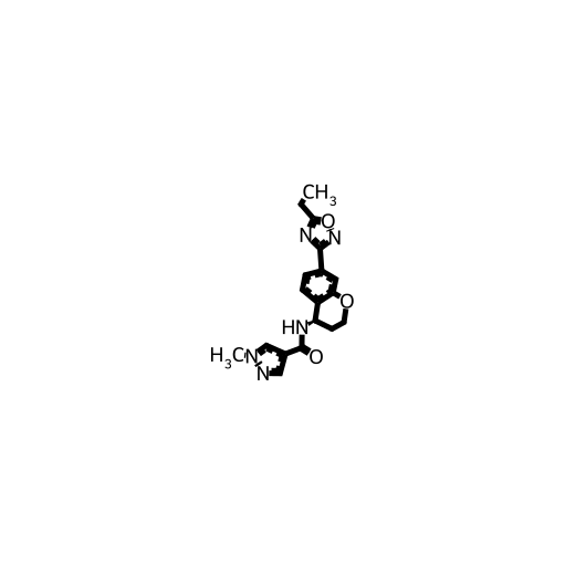 CCc1nc(-c2ccc3c(c2)OCC[C@H]3NC(=O)c2cnn(C)c2)no1